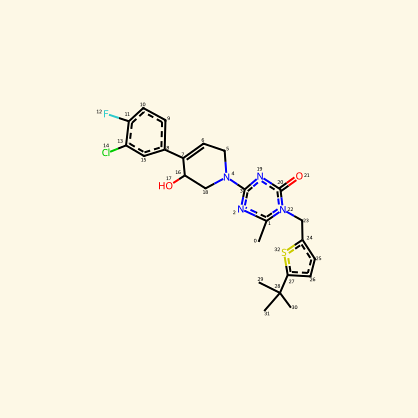 Cc1nc(N2CC=C(c3ccc(F)c(Cl)c3)C(O)C2)nc(=O)n1Cc1ccc(C(C)(C)C)s1